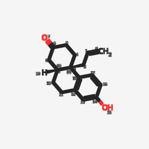 C=CC[C@]12CCC(=O)C[C@H]1CCc1cc(O)ccc12